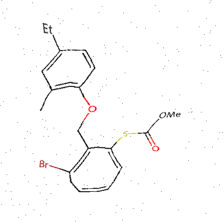 CCc1ccc(OCc2c(Br)cccc2SC(=O)OC)c(C)c1